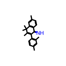 CC1=C(c2ccc(C)cc2C)C(=N)c2ccc(C)cc2C1(C)C